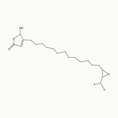 O=C1C=C(CCCCCCCCCCCCCC2OC2C(F)F)C(O)O1